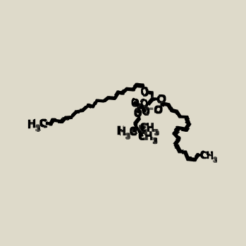 CC/C=C\C/C=C\C/C=C\C/C=C\CCCCC(=O)O[C@H](CO/C=C\CCCCCCCCCCCCCCCCCC)COP(=O)([O-])OCC[N+](C)(C)C